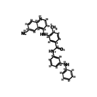 Cc1ccc(C(=O)Nc2cccc(Nc3ccccc3)c2)cc1Nc1ccnc2ccc(C#N)cc12